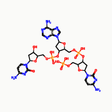 Nc1ccn(C2CC(O)C(COP(=O)(O)OC3CC(n4cnc5c(N)ncnc54)OC3COP(=O)(O)OC3CC(n4ccc(N)nc4=O)OC3COP(=O)(O)O)O2)c(=O)n1